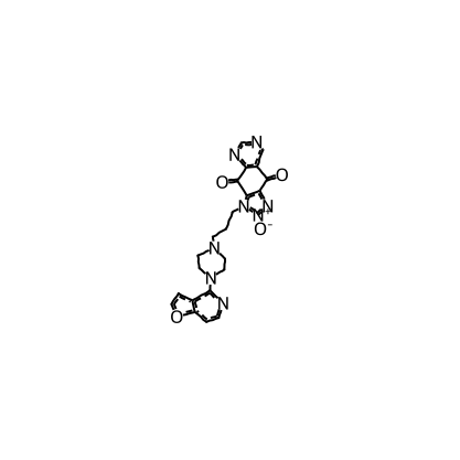 O=C1c2cncnc2C(=O)c2c1n[n+]([O-])n2CCCN1CCN(c2nccc3occc23)CC1